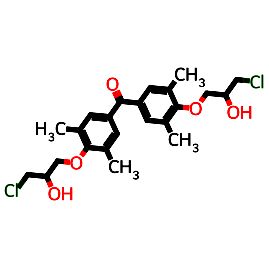 Cc1cc(C(=O)c2cc(C)c(OCC(O)CCl)c(C)c2)cc(C)c1OCC(O)CCl